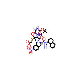 COC(=O)CSC(C)(C)C(NC(=O)[C@H](C)N(C)C(=O)OC(C)(C)C)C(=O)N1Cc2cc([N+](=O)[O-])ccc2C[C@H]1C(=O)N[C@@H]1CCCc2ccccc21